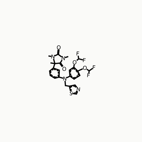 CN1C(=O)N(C)C(C)(c2cccc(N(Cc3cncs3)c3ccc(OC(F)F)c(OC(F)F)c3)c2)C1=O